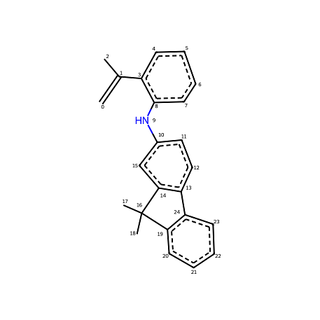 C=C(C)c1ccccc1Nc1ccc2c(c1)C(C)(C)c1ccccc1-2